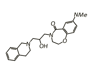 CNc1ccc2c(c1)C(=O)N(CC(O)CN1CCc3ccccc3C1)CCO2